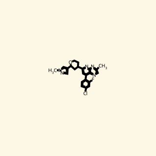 Cc1cnc2c(-c3ccc(Cl)cc3F)cc(C3CCOC(c4cnn(C)c4)C3)nc2n1